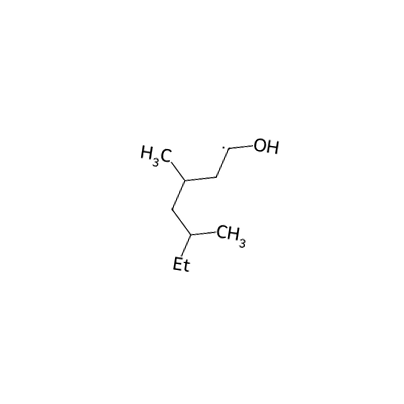 CCC(C)CC(C)C[CH]O